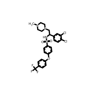 CN1CCN(CC(NS(=O)(=O)c2ccc(Oc3ccc(C(F)(F)F)cc3)cc2)c2ccc(Cl)c(Cl)c2)CC1